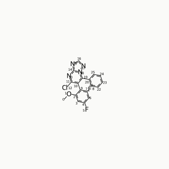 COc1cc(F)cc(F)c1-c1c(Cl)nc2ncnn2c1-c1ccccc1